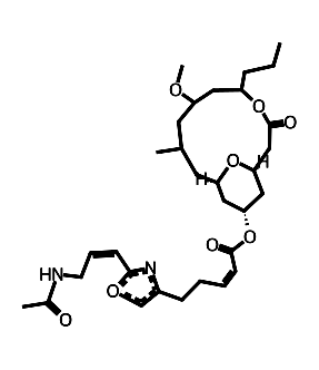 CCCC1CC(OC)CC(C)C[C@@H]2C[C@@H](OC(=O)/C=C\CCc3coc(/C=C\CNC(C)=O)n3)C[C@H](CC(=O)O1)O2